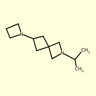 CC(C)N1CC2(CC(N3CCC3)C2)C1